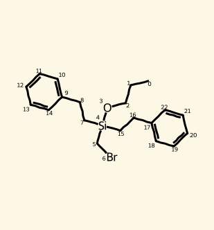 CCCO[Si](CBr)(CCc1ccccc1)CCc1ccccc1